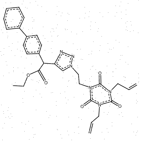 C=CCn1c(=O)n(CC=C)c(=O)n(CCn2cc(C(C(=O)OCC)c3ccc(-c4ccccc4)cc3)nn2)c1=O